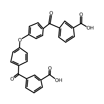 O=C(O)c1cccc(C(=O)c2ccc(Oc3ccc(C(=O)c4cccc(C(=O)O)c4)cc3)cc2)c1